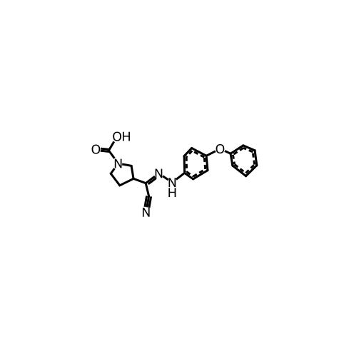 N#CC(=NNc1ccc(Oc2ccccc2)cc1)C1CCN(C(=O)O)C1